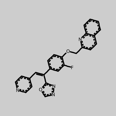 Fc1cc(C(=Cc2ccncc2)c2nnco2)ccc1OCc1ccc2ccccc2n1